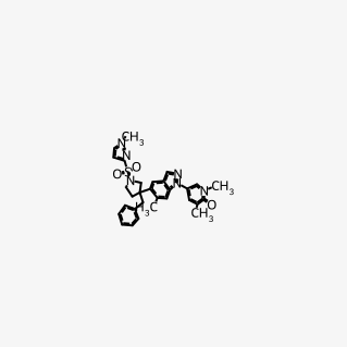 Cc1cc2c(cnn2-c2cc(C)c(=O)n(C)c2)cc1C1(Cc2ccccc2)CCN(S(=O)(=O)c2ccn(C)n2)C1